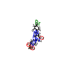 Cc1cc(Br)ccc1-n1cc2c(=O)n(C)c(N3CCN(S(C)(=O)=O)CC3)nc2n1